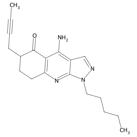 CC#CCC1CCc2nc3c(cnn3CCCCC)c(N)c2C1=O